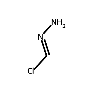 NN=CCl